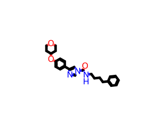 O=C(NCCCCc1ccccc1)n1cnc(-c2ccc(OC3CCOCC3)cc2)c1